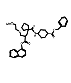 COCCOCC(CC1(C(=O)N[C@H]2CC[C@@H](C(=O)OCc3ccccc3)CC2)CCCC1)C(=O)Oc1cccc2ccccc12